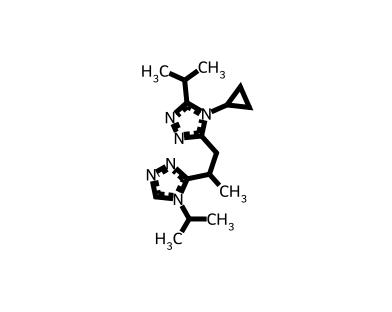 CC(C)c1nnc(CC(C)c2nncn2C(C)C)n1C1CC1